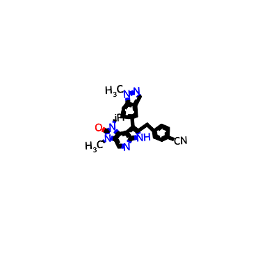 CC(C)n1c(=O)n(C)c2cnc3[nH]c(Cc4ccc(C#N)cc4)c(-c4ccc5c(cnn5C)c4)c3c21